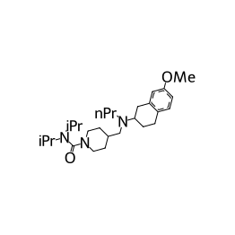 CCCN(CC1CCN(C(=O)N(C(C)C)C(C)C)CC1)C1CCc2ccc(OC)cc2C1